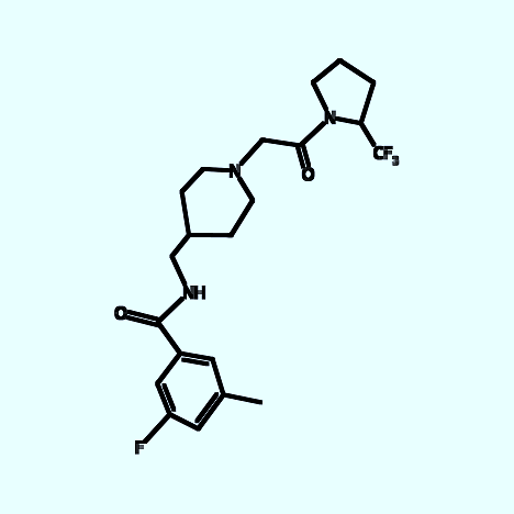 Cc1cc(F)cc(C(=O)NCC2CCN(CC(=O)N3CCCC3C(F)(F)F)CC2)c1